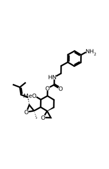 COC1C(OC(=O)NCCc2ccc(N)cc2)CC[C@]2(CO2)C1[C@@]1(C)O[C@@H]1CC=C(C)C